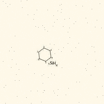 C1CCCCC1.[SiH4]